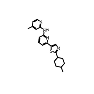 Cc1ccnc(Nc2cccc(-c3cnc(C4CCC(C)CC4)s3)n2)c1